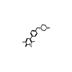 C=C1C(C)=CC(c2ccc(CN3CCN(C)CC3)cc2)=C(C)N1C